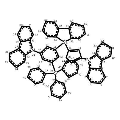 C1=C(n2c3ccccc3c3ccccc32)C=C(S2(c3cc(-n4c5ccccc5c5ccccc54)cc(S(c4ccccc4)(c4ccccc4)c4ccccc4)c3)c3ccccc3-c3ccccc32)C1